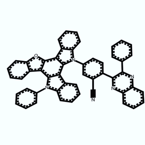 N#Cc1cc(-n2c3ccccc3c3c4oc5ccccc5c4c4c(c5ccccc5n4-c4ccccc4)c32)ccc1-c1nc2ccccc2nc1-c1ccccc1